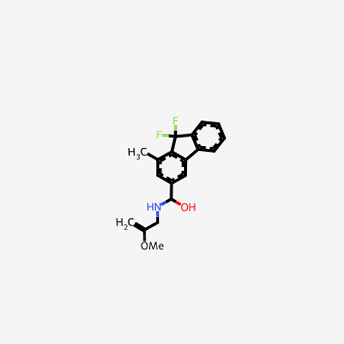 C=C(CNC(O)c1cc(C)c2c(c1)-c1ccccc1C2(F)F)OC